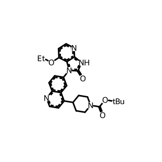 CCOc1ccnc2[nH]c(=O)n(-c3ccc4nccc(C5CCN(C(=O)OC(C)(C)C)CC5)c4c3)c12